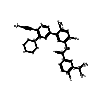 CC#Cc1ncc(-c2cc(NC(=O)c3ccc(F)c(C(C)C)c3)c(F)cc2C)cc1N1CCOCC1